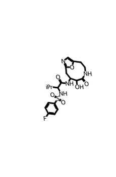 CC(C)C(NS(=O)(=O)c1ccc(F)cc1)C(=O)NC1Cc2ncc(o2)CCNC(=O)C1O